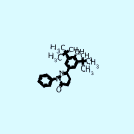 CC(C)(C)c1cc(C2=NN(c3ccccc3)C(=O)CC2)cc(C(C)(C)C)c1O